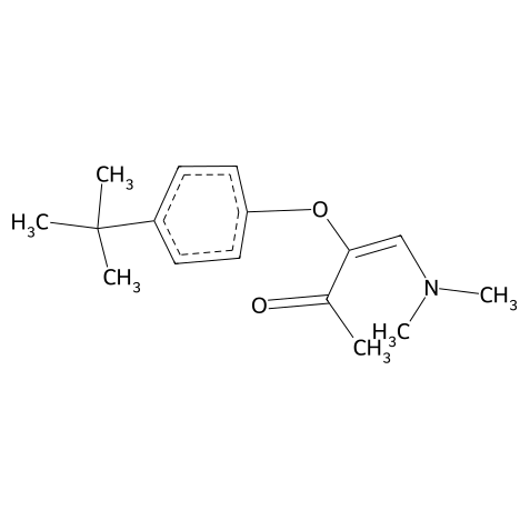 CC(=O)C(=CN(C)C)Oc1ccc(C(C)(C)C)cc1